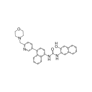 O=C(Nc1cc2ccccc2cc1O)Nc1ccc(-c2ccc(CN3CCOCC3)nc2)c2ccccc12